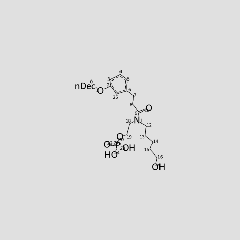 CCCCCCCCCCOc1cccc(CCC(=O)N(CCCCCO)CCOP(=O)(O)O)c1